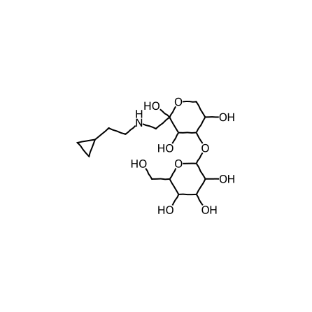 OCC1OC(OC2C(O)COC(O)(CNCCC3CC3)C2O)C(O)C(O)C1O